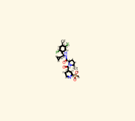 CC[C@@H]1CC[C@H](C(=O)NC(c2cc(F)c(C(F)(F)F)cc2F)C2CC2)N1C(=O)c1ccnc(S(C)(=O)=O)c1